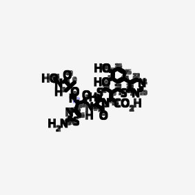 CC(C)(O/N=C(\C(=O)N[C@@H]1C(=O)N2C(C(=O)O)=C(CSc3ncncc3-c3ccc(O)c(O)c3)CS[C@H]12)c1csc(N)n1)C(=O)NO